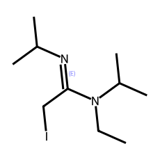 CCN(/C(CI)=N/C(C)C)C(C)C